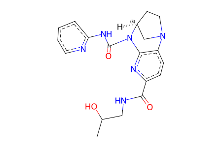 CC(O)CNC(=O)c1ccc2c(n1)N(C(=O)Nc1ccccn1)[C@H]1CCN2C1